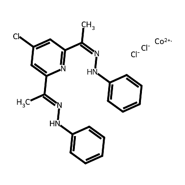 CC(=NNc1ccccc1)c1cc(Cl)cc(C(C)=NNc2ccccc2)n1.[Cl-].[Cl-].[Co+2]